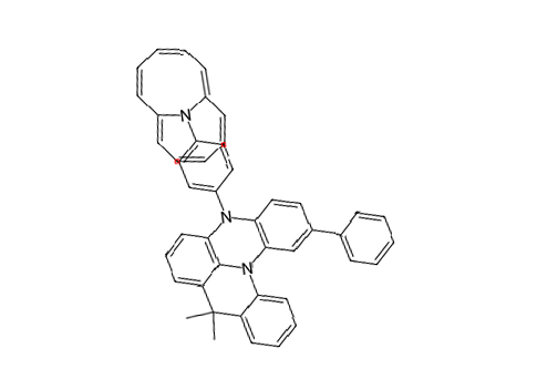 CC1(C)c2ccccc2N2c3cc(-c4ccccc4)ccc3N(c3ccc(N4C5=C\C=C/C=C\C4=C\C=C/C=C\5)cc3)c3cccc1c32